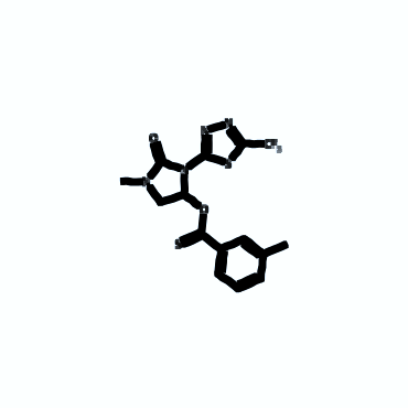 Cc1cccc(C(=S)OC2CN(C)C(=O)N2c2nnc(C(F)(F)F)s2)c1